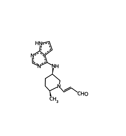 C[C@H]1CC[C@@H](Nc2ncnc3[nH]ccc23)CN1C=CC=O